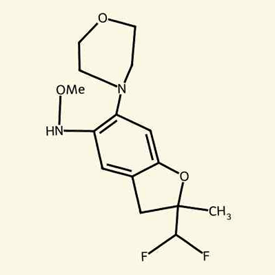 CONc1cc2c(cc1N1CCOCC1)OC(C)(C(F)F)C2